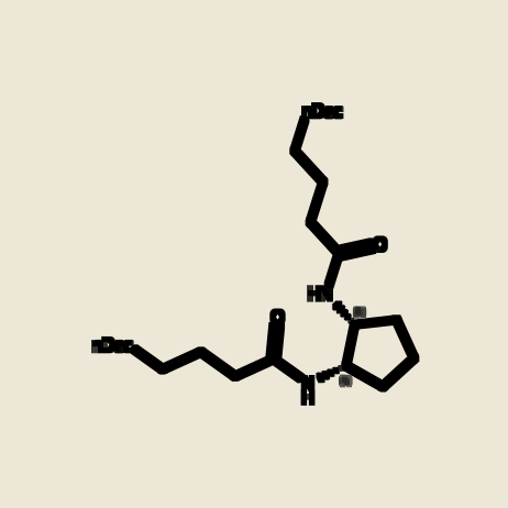 CCCCCCCCCCCCCC(=O)N[C@H]1CCC[C@H]1NC(=O)CCCCCCCCCCCCC